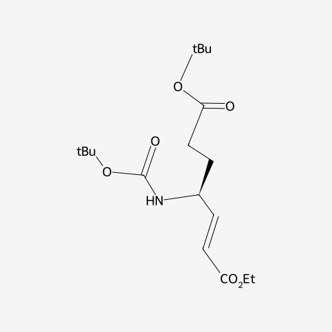 CCOC(=O)/C=C/[C@H](CCC(=O)OC(C)(C)C)NC(=O)OC(C)(C)C